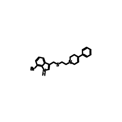 Brc1cccc2c(CSCCN3CC=C(c4ccccc4)CC3)c[nH]c12